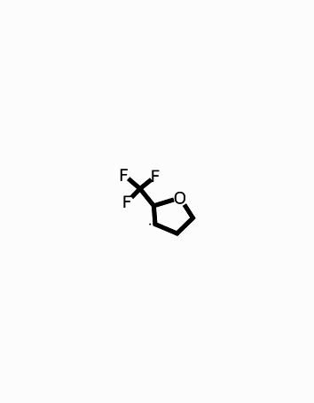 FC(F)(F)C1[CH]CCO1